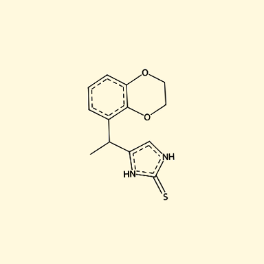 CC(c1c[nH]c(=S)[nH]1)c1cccc2c1OCCO2